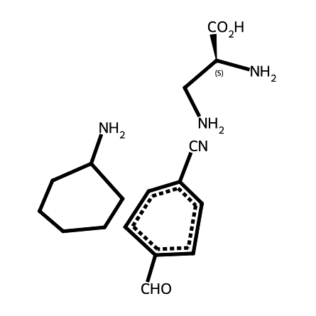 N#Cc1ccc(C=O)cc1.NC1CCCCC1.NC[C@H](N)C(=O)O